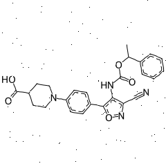 CC(OC(=O)Nc1c(C#N)noc1-c1ccc(N2CCC(C(=O)O)CC2)cc1)c1ccccc1